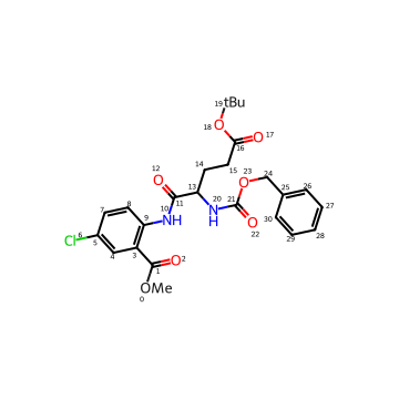 COC(=O)c1cc(Cl)ccc1NC(=O)C(CCC(=O)OC(C)(C)C)NC(=O)OCc1ccccc1